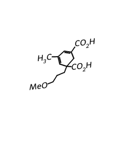 COCCCC1(C(=O)O)C=C(C)C=C(C(=O)O)C1